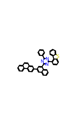 c1ccc(-c2nc(-c3cc(-c4ccc5c(ccc6ccccc65)c4)cc4ccccc34)nc(-c3cccc4sc5ccccc5c34)n2)cc1